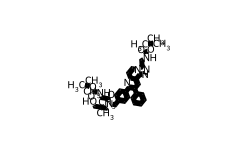 CC(C)(CO)CN(Cc1ccc(-c2nc3ccn4c(CNC(=O)OC(C)(C)C)nnc4c3cc2-c2ccccc2)cc1)C(=O)CNC(=O)OC(C)(C)C